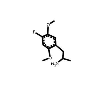 COc1cc(CC(C)N)c(OC)cc1F